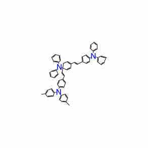 Cc1ccc(N(c2ccc(C)cc2)c2ccc(C=CC3(N(c4ccccc4)c4ccccc4)C=CC(C=Cc4ccc(N(c5ccccc5)c5ccccc5)cc4)=CC3)cc2)cc1